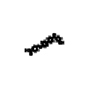 O=C(O)N1CCC(COc2cnc(-c3ccc(C(=O)N4CCC(O)C4)cc3)cn2)CC1